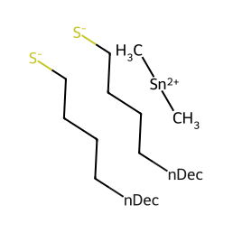 CCCCCCCCCCCCCC[S-].CCCCCCCCCCCCCC[S-].[CH3][Sn+2][CH3]